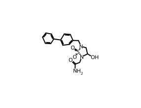 NC(=O)CN1C(O)CN(Cc2ccc(-c3ccccc3)cc2)S1(=O)=O